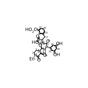 CCN1CCN(C(=O)N[C@@H](C(=O)N[C@H]2Cc3cccc(C(=O)O)c3OB2O)c2cc(O)cc(O)c2)C(=O)C1=O